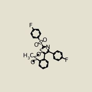 CS(=O)(=O)c1ccccc1-c1sc(S(=O)(=O)c2ccc(F)cc2)nc1-c1ccc(F)cc1